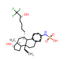 C=CC12CCc3cc(NS(=O)(=O)O)ccc3C1[C@@H](CCCC[C@@H](O)C(F)(F)F)C[C@@]1(C)C2CC[C@@H]1O